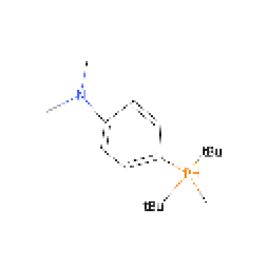 CN(C)c1ccc([PH](C)(C(C)(C)C)C(C)(C)C)cc1